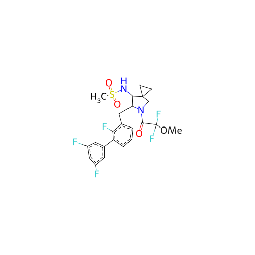 COC(F)(F)C(=O)N1CC2(CC2)C(NS(C)(=O)=O)C1Cc1cccc(-c2cc(F)cc(F)c2)c1F